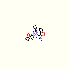 c1ccc(-c2nc(-c3ccc4c(c3)oc3ccccc34)nc(-c3cncc4oc5ccccc5c34)n2)cc1